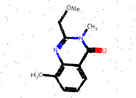 COCc1nc2c(C)cccc2c(=O)n1C